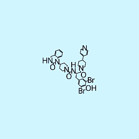 O=C(N[C@H](Cc1cc(Br)c(O)c(Br)c1)C(=O)N1CCC(c2ccncc2)CC1)N1CCC(N2C(=O)NCc3ccccc32)CC1